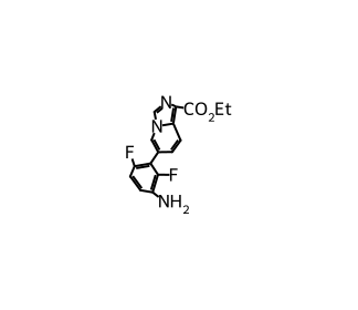 CCOC(=O)c1ncn2cc(-c3c(F)ccc(N)c3F)ccc12